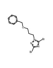 Brc1nc(Br)n(CCCOCc2ccccc2)n1